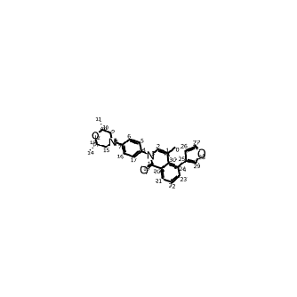 Cc1cn(-c2ccc(N3C[C@@H](C)O[C@@H](C)C3)cc2)c(=O)c2cccc(-c3ccoc3)c12